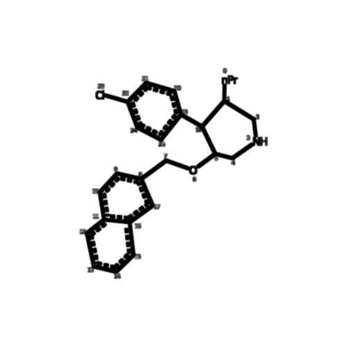 CCCC1CNCC(OCc2ccc3ccccc3c2)C1c1ccc(Cl)cc1